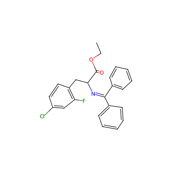 CCOC(=O)C(Cc1ccc(Cl)cc1F)N=C(c1ccccc1)c1ccccc1